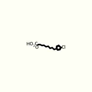 O=C(O)C(=O)CCCCCCCCc1ccc(Cl)cc1